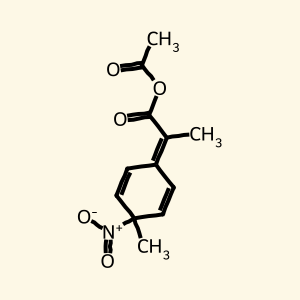 CC(=O)OC(=O)C(C)=C1C=CC(C)([N+](=O)[O-])C=C1